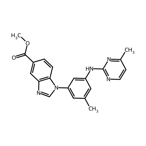 COC(=O)c1ccc2c(c1)ncn2-c1cc(C)cc(Nc2nccc(C)n2)c1